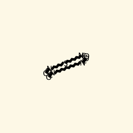 O=C=NCCCCCCCCCCCCN=C=O.O=C=NCCCCCCSCCCCCCN=C=O